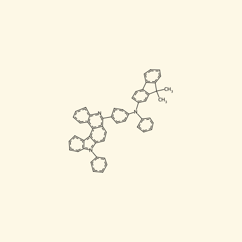 CC1(C)c2ccccc2-c2ccc(N(c3ccccc3)c3ccc(-c4nc5ccccc5c5c4ccc4c5c5ccccc5n4-c4ccccc4)cc3)cc21